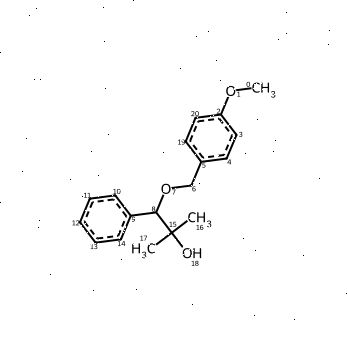 COc1ccc(COC(c2ccccc2)C(C)(C)O)cc1